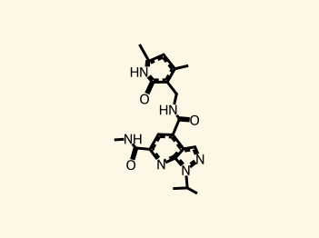 CNC(=O)c1cc(C(=O)NCc2c(C)cc(C)[nH]c2=O)c2cnn(C(C)C)c2n1